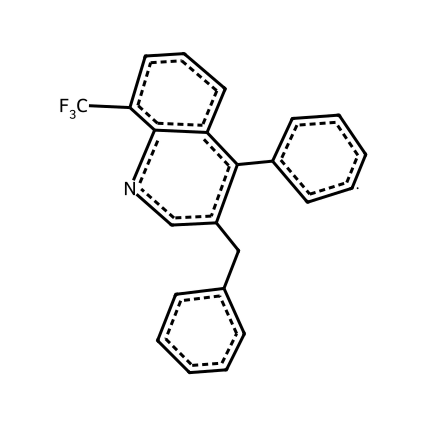 FC(F)(F)c1cccc2c(-c3c[c]ccc3)c(Cc3ccccc3)cnc12